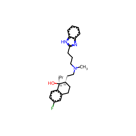 CC(C)[C@@]1(O)c2ccc(F)cc2CC[C@H]1CCN(C)CCCc1nc2ccccc2[nH]1